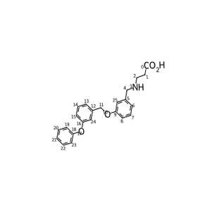 O=C(O)CCNCc1cccc(OCc2cccc(Oc3ccccc3)c2)c1